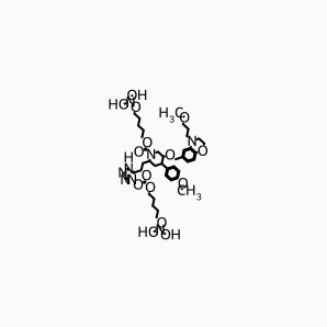 COCCCN1CCOc2ccc(COC3CN(C(=O)OCCCCCON(O)O)C(CC(OC(=O)OCCCCCON(O)O)c4nnn[nH]4)CC3c3ccc(OC)cc3)cc21